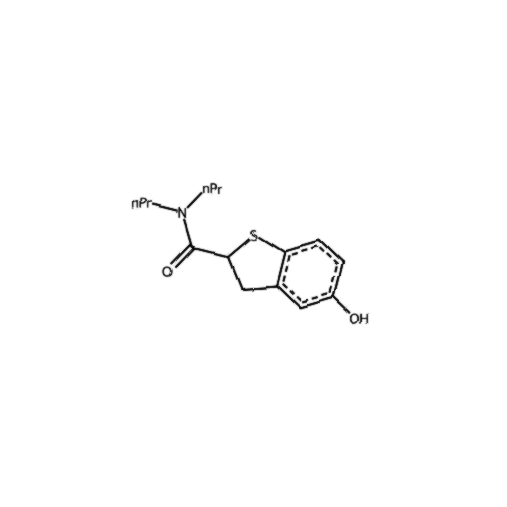 CCCN(CCC)C(=O)C1Cc2cc(O)ccc2S1